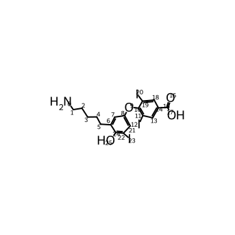 NCCCCCc1cc(Oc2c(I)cc(C(=O)O)cc2I)cc(I)c1O